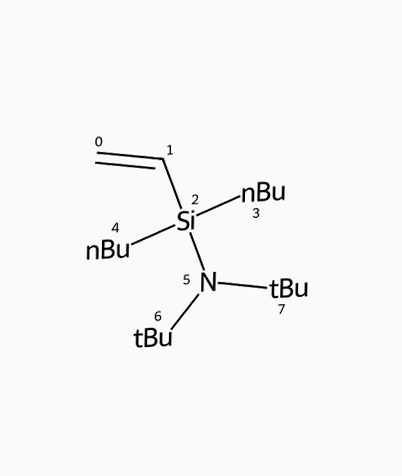 C=C[Si](CCCC)(CCCC)N(C(C)(C)C)C(C)(C)C